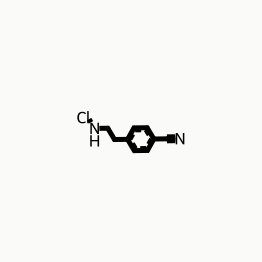 N#Cc1ccc(CCNCl)cc1